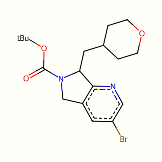 CC(C)(C)OC(=O)N1Cc2cc(Br)cnc2C1CC1CCOCC1